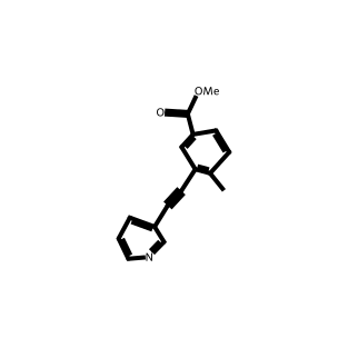 COC(=O)c1ccc(C)c(C#Cc2cccnc2)c1